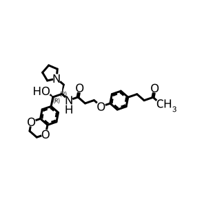 CC(=O)CCc1ccc(OCCC(=O)N[C@H](CN2CCCC2)[C@H](O)c2ccc3c(c2)OCCO3)cc1